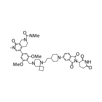 CNC(=O)N1CCc2c(-c3cc(OC)c(CN4CCN(CCC5CCN(c6ccc7c(c6)C(=O)N(C6CCC(=O)NC6=O)C7=O)CC5)C5(CCC5)C4)c(OC)c3)cn(C)c(=O)c2C1